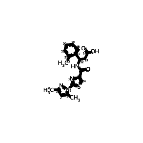 Cc1cc(C)n(-c2nc(C(=O)NC(CC(=O)O)c3ccccc3C)cs2)n1